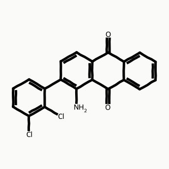 Nc1c(-c2cccc(Cl)c2Cl)ccc2c1C(=O)c1ccccc1C2=O